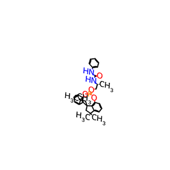 C[C@H](COP1Oc2cccc3c2C2(CC3(C)C)CC(C)(C)c3cccc(c32)O1)NC(=O)Nc1ccccc1